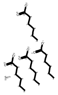 CCCCCC(=O)[O-].CCCCCC(=O)[O-].CCCCCC(=O)[O-].CCCCCC(=O)[O-].[Sn+4]